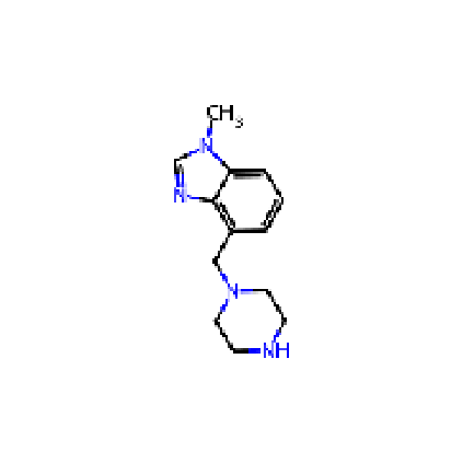 Cn1cnc2c(CN3CCNCC3)cccc21